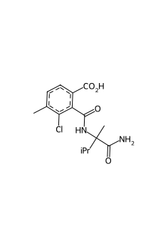 Cc1ccc(C(=O)O)c(C(=O)NC(C)(C(N)=O)C(C)C)c1Cl